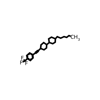 CCCCCCC1CCC(C2CCC(C#Cc3ccc(C(F)(F)F)cc3)CC2)CC1